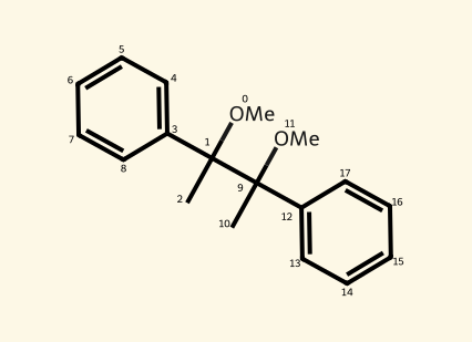 COC(C)(c1ccccc1)C(C)(OC)c1ccccc1